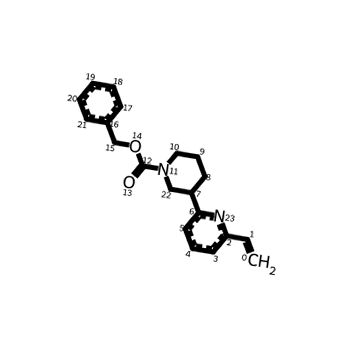 C=Cc1cccc(C2CCCN(C(=O)OCc3ccccc3)C2)n1